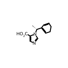 C[C@H](C1=CCCC=C1)n1cncc1C(=O)O